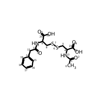 CC(=O)NC(CSSCC(NC(=O)Cc1ccccc1)C(=O)O)C(=O)O